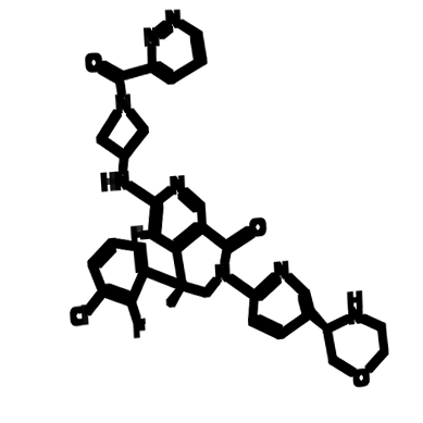 C[C@]1(c2cccc(Cl)c2F)CN(c2ccc([C@@H]3COCCN3)cn2)C(=O)c2cnc(NC3CN(C(=O)c4cccnn4)C3)c(F)c21